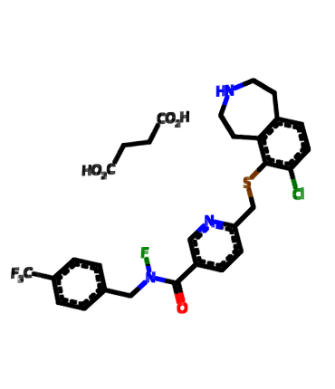 O=C(O)CCC(=O)O.O=C(c1ccc(CSc2c(Cl)ccc3c2CCNCC3)nc1)N(F)Cc1ccc(C(F)(F)F)cc1